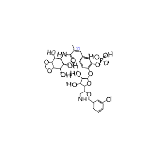 C/C(=C/c1ccc(OC2OC(C(C=N)OCc3cccc(Cl)c3)C(O)C2O)c(OP(=O)(O)O)c1)C(=O)NC1C(O)C(O)C2OCOC2C1O